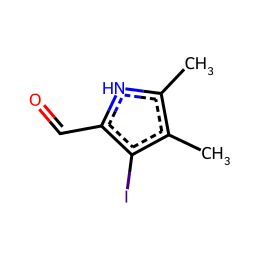 Cc1[nH]c(C=O)c(I)c1C